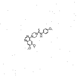 COc1ccc(NC(=S)N2CCN(c3ncnc4cc(OC)c(OC)cc34)CC2)cc1